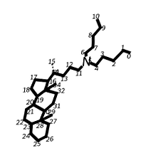 CCCCCN(CCCCC)CCC[C@@H](C)C1CCC2C3CCC4CCCCC4(C)C3CCC21C